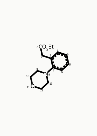 CCOC(=O)Cc1ccccc1N1CCOCC1